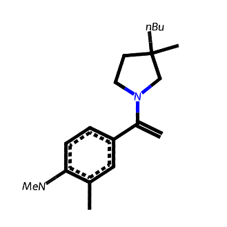 C=C(c1ccc(NC)c(C)c1)N1CCC(C)(CCCC)C1